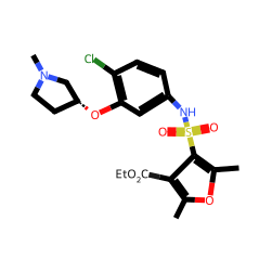 CCOC(=O)c1c(C)oc(C)c1S(=O)(=O)Nc1ccc(Cl)c(O[C@@H]2CCN(C)C2)c1